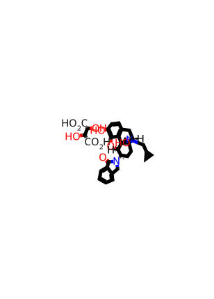 O=C(O)C(O)C(O)C(=O)O.O=C1c2ccccc2CN1[C@@H]1CCC2(O)[C@H]3Cc4ccc(O)c5c4[C@@]2(CCN3CC2CC2)[C@H]1O5